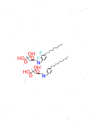 CCCCCCCCCc1ccc(CN(C)CC#CCC(C)(C(=O)O)C(=O)O)c(F)c1F.CCCCCCCCCc1ccc(CN(C)CC#CCC(C)(C(=O)O)C(=O)O)cc1